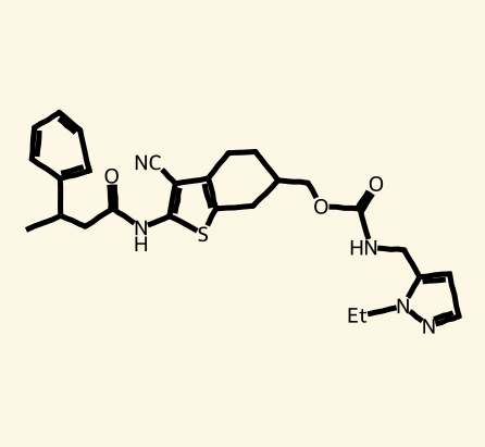 CCn1nccc1CNC(=O)OCC1CCc2c(sc(NC(=O)CC(C)c3ccccc3)c2C#N)C1